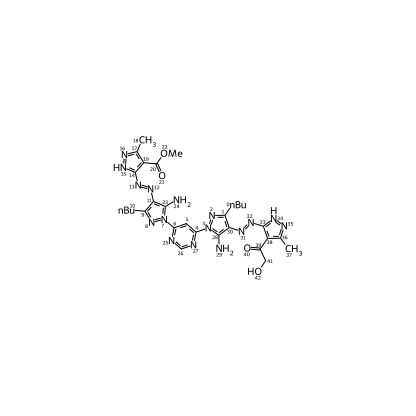 CCCCc1nn(-c2cc(-n3nc(CCCC)c(/N=N/c4[nH]nc(C)c4C(=O)OC)c3N)ncn2)c(N)c1/N=N/c1[nH]nc(C)c1C(=O)CO